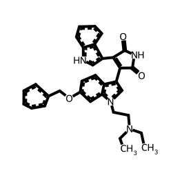 CCN(CC)CCn1cc(C2=C(c3c[nH]c4ccccc34)C(=O)NC2=O)c2ccc(OCc3ccccc3)cc21